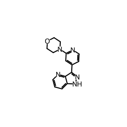 c1cnc2c(-c3ccnc(N4CCOCC4)c3)n[nH]c2c1